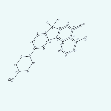 CC1(C)c2ccc(C3CCC(C=O)CC3)cc2-n2c1nc(=O)c1c(Cl)cccc12